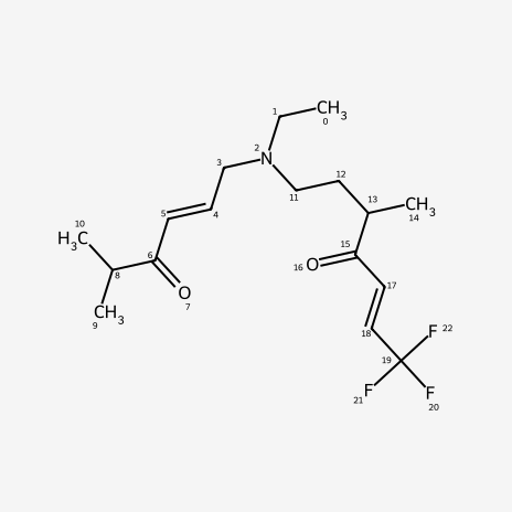 CCN(C/C=C/C(=O)C(C)C)CCC(C)C(=O)/C=C/C(F)(F)F